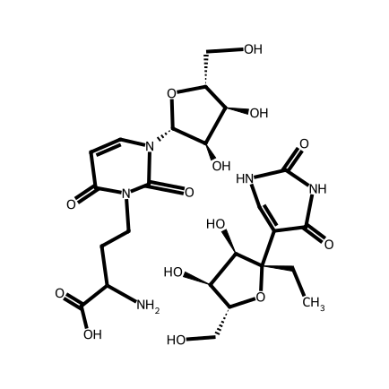 CC[C@@]1(c2c[nH]c(=O)[nH]c2=O)O[C@H](CO)[C@@H](O)[C@H]1O.NC(CCn1c(=O)ccn([C@@H]2O[C@H](CO)[C@@H](O)[C@H]2O)c1=O)C(=O)O